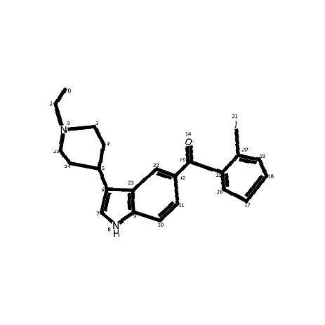 CCN1CCC(c2c[nH]c3ccc(C(=O)c4ccccc4I)cc23)CC1